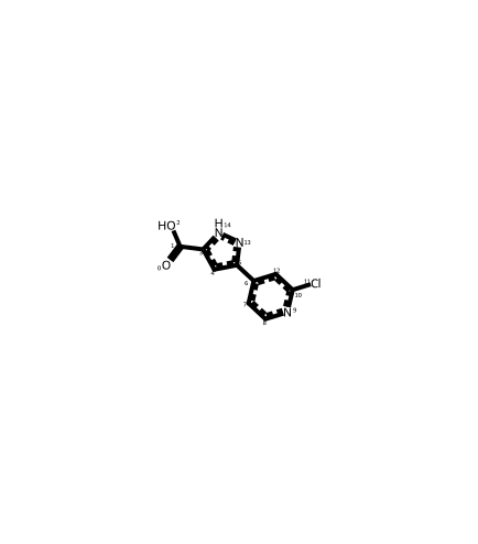 O=C(O)c1cc(-c2ccnc(Cl)c2)n[nH]1